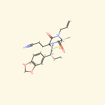 C=CCN1C(=O)C2(CCC#N)SS[C@@]1(C)C(=O)N2[C@H](CC)c1ccc2c(c1)OCO2